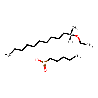 CCCCCCCCCC[Si](C)(C)OCC.CCCCCS(=O)O